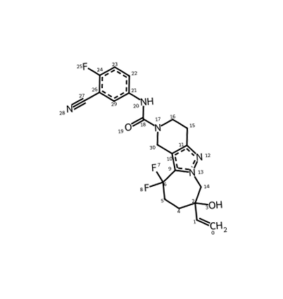 C=CC1(O)CCC(F)(F)c2c3c(nn2C1)CCN(C(=O)Nc1ccc(F)c(C#N)c1)C3